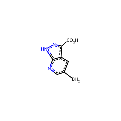 Bc1cnc2[nH]nc(C(=O)O)c2c1